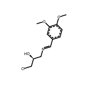 COc1ccc(/C=N/C[C@H](O)CCl)cc1OC